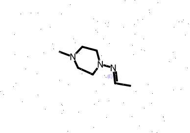 C/C=N/N1CCN(C)CC1